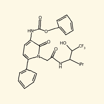 CC(C)C(NC(=O)Cn1c(-c2ccccc2)ccc(NC(=O)Oc2ccccc2)c1=O)C(O)C(F)(F)F